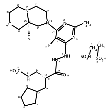 CS(=O)(=O)O.CS(=O)(=O)O.Cc1nc(NNC(=O)[C@@H](CNC(=O)O)CC2CCCC2)c(F)c(N2CCN3CCOC[C@@H]3C2)n1